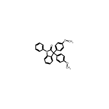 COc1ccc(C2(c3ccc(OC)cc3)C(=O)N(c3ccccc3)c3ccccc32)cc1